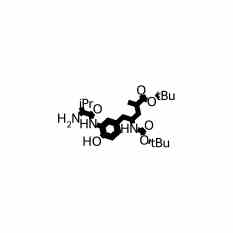 CC(CC(Cc1ccc(O)c(NC(=O)C(N)C(C)C)c1)NC(=O)OC(C)(C)C)C(=O)OC(C)(C)C